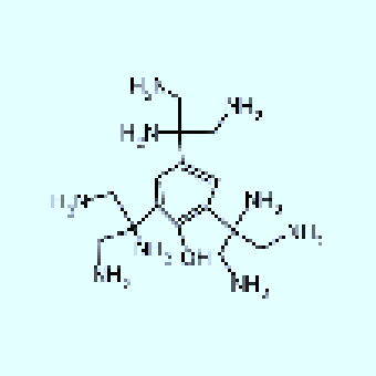 NCC(N)(CN)c1cc(C(N)(CN)CN)c(O)c(C(N)(CN)CN)c1